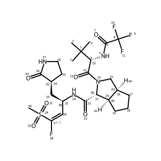 CC(C)(C)[C@H](NC(=O)C(F)(F)F)C(=O)N1C[C@H]2CCC[C@H]2[C@@H]1C(=O)N[C@@H](/C=C(/F)S(C)(=O)=O)C[C@@H]1CCNC1=O